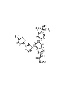 CCN1CCN(c2ccnc(-c3cc(-c4cnc(C(C)(C)O)nc4)cc4nc(NC(=O)NC)sc34)n2)CC1